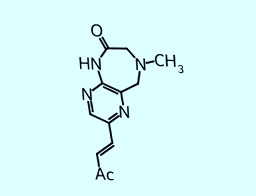 CC(=O)/C=C/c1cnc2c(n1)CN(C)CC(=O)N2